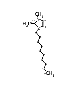 CCCCCCCCCCN1C=CN(C)C1C